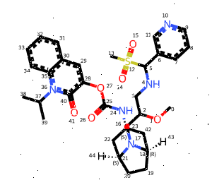 COC(CNC(c1cccnc1)S(C)(=O)=O)CN1[C@@H]2CC[C@H]1C[C@H](NC(=O)Oc1cc3ccccc3n(C(C)C)c1=O)C2